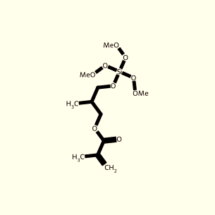 C=C(C)C(=O)OCC(C)CO[Si](OOC)(OOC)OOC